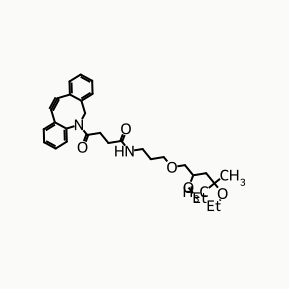 CCOC(COCCCNC(=O)CCC(=O)N1Cc2ccccc2C#Cc2ccccc21)CC(C)(C)OCC